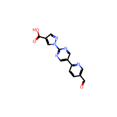 O=Cc1ccc(-c2cnc(-n3cc(C(=O)O)cn3)nc2)nc1